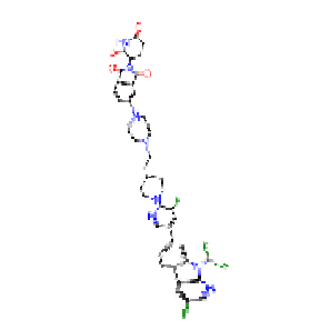 O=C1CCC(N2C(=O)c3ccc(N4CCN(CCC5CCN(c6ncc(-c7ccc8c9cc(F)cnc9n(C(F)F)c8c7)cc6F)CC5)CC4)cc3C2=O)C(=O)N1